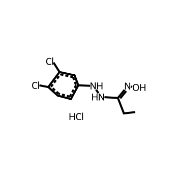 CCC(=NO)NNc1ccc(Cl)c(Cl)c1.Cl